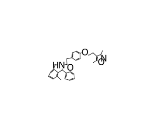 Cc1cccc(C)c1C(NC(=O)Cc1ccc(OCCc2c(C)noc2C)cc1)c1ccccc1